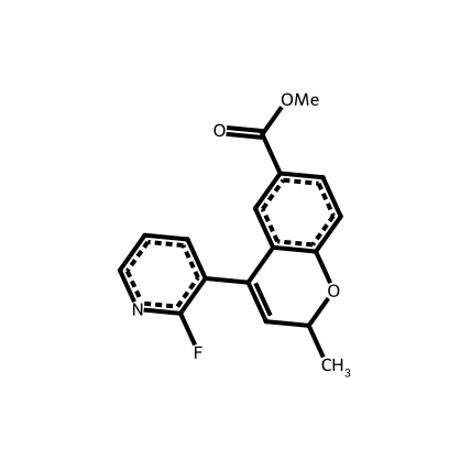 COC(=O)c1ccc2c(c1)C(c1cccnc1F)=CC(C)O2